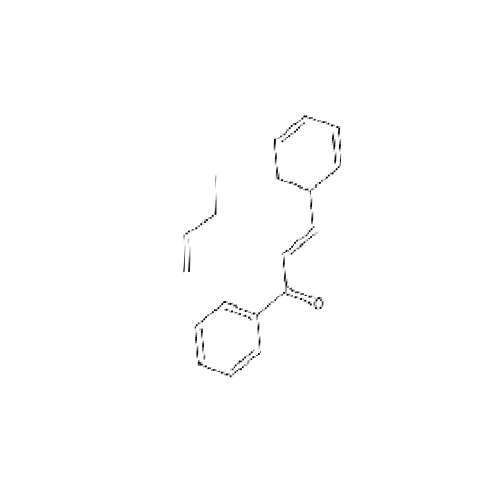 C=CCC.O=C(C=CC1C=CC=CC1)c1ccccc1